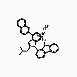 CC(C)CC1=Cc2c(-c3ccc4ccccc4c3)cccc2C1c1cccc2c1[CH]([Zr+2][SiH](C)C)c1ccccc1-2.[Cl-].[Cl-]